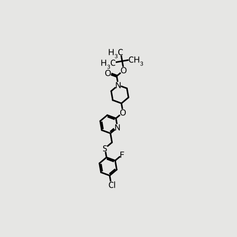 CC(C)(C)OC(=O)N1CCC(Oc2cccc(CSc3ccc(Cl)cc3F)n2)CC1